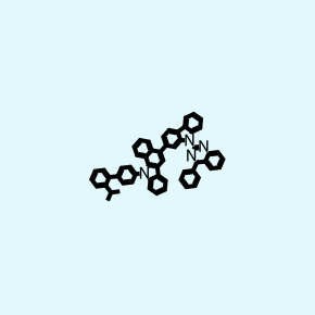 CC(C)c1ccccc1-c1ccc(-n2c3ccccc3c3cc(-c4ccc5c6ccccc6n(-c6nc(-c7ccccc7)c7ccccc7n6)c5c4)c4ccccc4c32)cc1